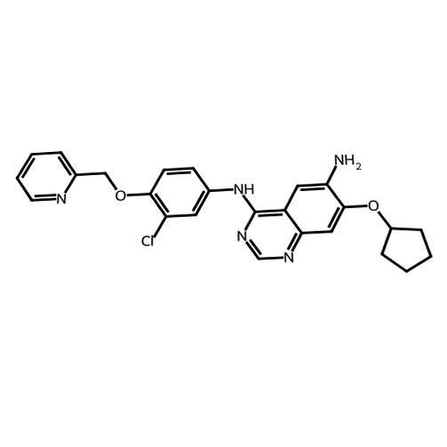 Nc1cc2c(Nc3ccc(OCc4ccccn4)c(Cl)c3)ncnc2cc1OC1CCCC1